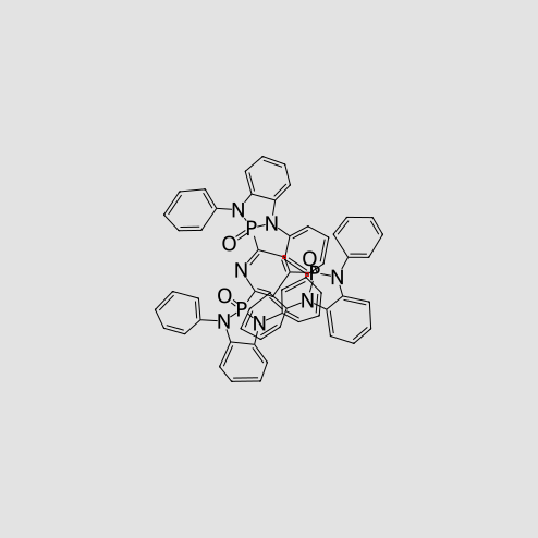 O=P1(c2cc(P3(=O)N(c4ccccc4)c4ccccc4N3c3ccccc3)nc(P3(=O)N(c4ccccc4)c4ccccc4N3c3ccccc3)c2)N(c2ccccc2)c2ccccc2N1c1ccccc1